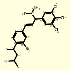 BP(F)C(/C=C/c1ccc(C(C)CC(C)F)c(Br)c1)c1cc(Cl)c(Cl)c(Cl)c1